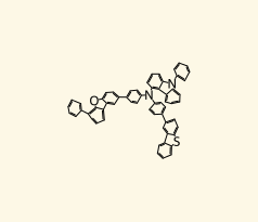 c1ccc(-c2cccc3c2oc2ccc(-c4ccc(N(c5ccc(-c6ccc7sc8ccccc8c7c6)cc5)c5cccc6c5c5ccccc5n6-c5ccccc5)cc4)cc23)cc1